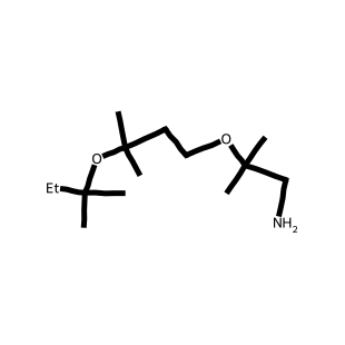 CCC(C)(C)OC(C)(C)CCOC(C)(C)CN